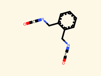 O=C=NCc1ccccc1CN=C=O